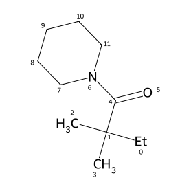 CCC(C)(C)C(=O)N1CCCCC1